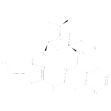 CCOc1cc(Nc2cc3ncccc3c(N[C@@H]3C[C@H]4CC[C@@H](C3)N4CCC#N)n2)n[nH]1